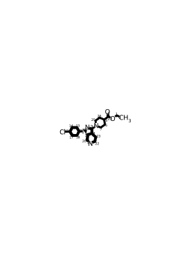 CCOC(=O)C1CCN(c2nn(-c3ccc(Cl)cc3)c3cnccc23)CC1